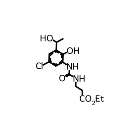 CCOC(=O)CCNC(=O)Nc1cc(Cl)cc(C(C)O)c1O